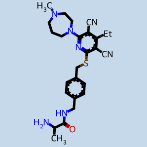 CCc1c(C#N)c(SCc2ccc(CNC(=O)C(C)N)cc2)nc(N2CCCN(C)CC2)c1C#N